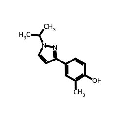 Cc1cc(-c2ccn(C(C)C)n2)ccc1O